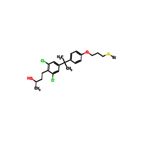 CCSCCCOc1ccc(C(C)(C)c2cc(Cl)c(CCC(C)O)c(Cl)c2)cc1